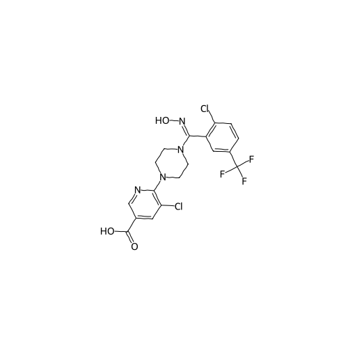 O=C(O)c1cnc(N2CCN(/C(=N\O)c3cc(C(F)(F)F)ccc3Cl)CC2)c(Cl)c1